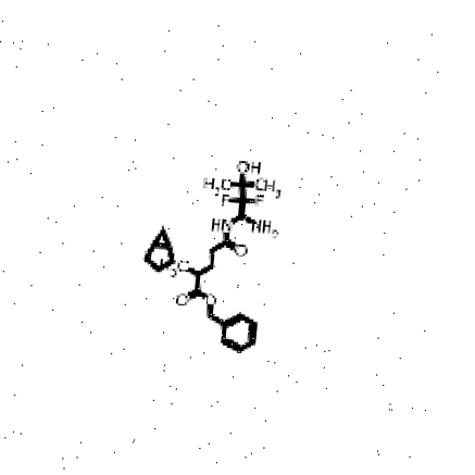 C1CC2CC2C1.CC(CCC(=O)NC(N)C(F)(F)C(C)(C)O)C(=O)OCc1ccccc1